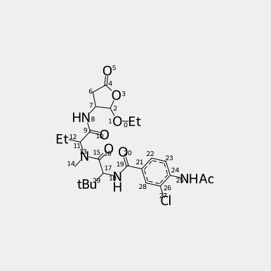 CCOC1OC(=O)CC1NC(=O)C(CC)N(C)C(=O)C(NC(=O)c1ccc(NC(C)=O)c(Cl)c1)C(C)(C)C